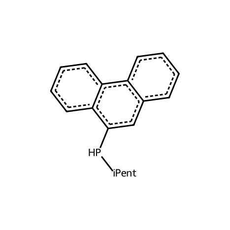 CCCC(C)Pc1cc2ccccc2c2ccccc12